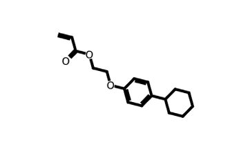 C=CC(=O)OCCOc1ccc(C2CCCCC2)cc1